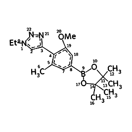 CCn1cc(-c2c(C)cc(B3OC(C)(C)C(C)(C)O3)cc2OC)nn1